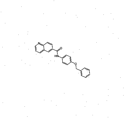 O=C(Nc1ccc(OCc2ccccc2)cc1)c1ccc2ncccc2c1